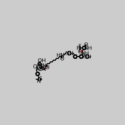 Cc1ncsc1-c1ccc(CNC(=O)[C@H]2C[C@H](O)CN2C(=O)[C@@H](NC(=O)CCCCCCCCCC(=O)NCCN2CCN(Cc3cccc(-c4ccc(N5CCN(C)CC5)c(NC(=O)c5c[nH]c(=O)cc5C(F)(F)F)c4)c3)CC2)C(C)(C)C)cc1